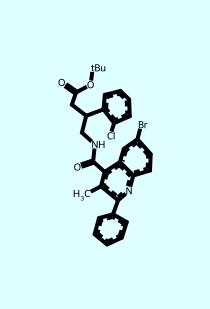 Cc1c(-c2ccccc2)nc2ccc(Br)cc2c1C(=O)NCC(CC(=O)OC(C)(C)C)c1ccccc1Cl